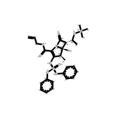 C=CCOC(=O)C1=C(OP(=O)(Oc2ccccc2)Oc2ccccc2)[C@H](C)[C@H]2[C@@H](C(C)O[Si](C)(C)C)C(=O)N12